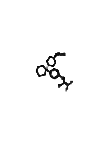 CCCCC[C@H]1CC[C@H](C2(c3ccc(OC(F)=C(F)F)cc3)CCCCC2)CC1